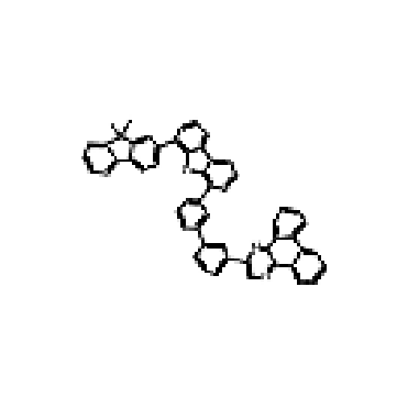 CC1(C)c2ccccc2-c2ccc(-c3cccc4c3oc3c(-c5cccc(-c6cccc(-c7cnc8c9ccccc9c9ccccc9c8n7)c6)c5)cccc34)cc21